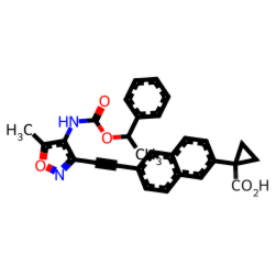 Cc1onc(C#Cc2ccc3cc(C4(C(=O)O)CC4)ccc3c2)c1NC(=O)OC(C)c1ccccc1